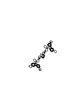 COc1ccc2c(c1)c1cc(OC)ccc1n2C(=O)OCCOc1cccc(OCCOC(=O)n2c3ccc(OC)cc3c3cc(OC)ccc32)n1